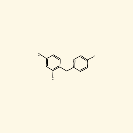 Fc1ccc(Cc2ccc(Cl)cc2Cl)cc1